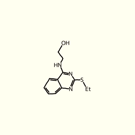 CCSc1nc(NCCO)c2ccccc2n1